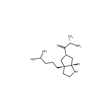 C[C@H](N)C(=O)N1C[C@@H]2NCC[C@]2(CCCB(O)O)C1